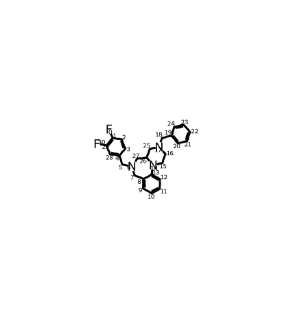 Fc1ccc(CN2Cc3ccccc3N3CCN(Cc4ccccc4)CC3C2)cc1F